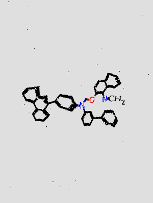 C=Nc1c(OCN(c2ccc(-c3cc4ccccc4c4ccccc34)cc2)c2cccc(-c3ccccc3)c2)ccc2ccccc12